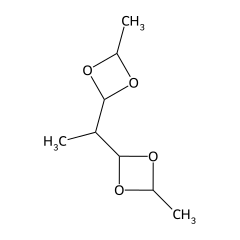 CC1OC(C(C)C2OC(C)O2)O1